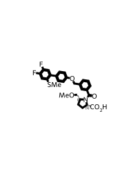 COC[C@H]1CC[C@@H](C(=O)O)N1C(=O)c1cccc(COc2ccc(-c3cc(F)c(F)cc3SC)cc2)c1